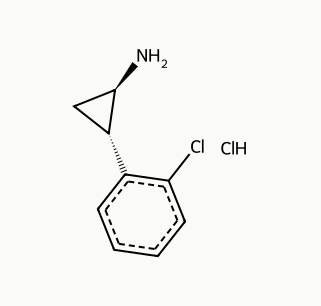 Cl.N[C@@H]1C[C@H]1c1ccccc1Cl